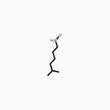 CC(C)CCCC[NH2+][O-]